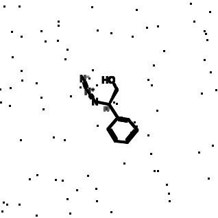 [N-]=[N+]=N[C@@H](CO)c1ccccc1